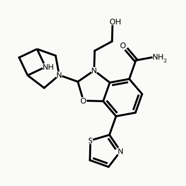 NC(=O)c1ccc(-c2nccs2)c2c1N(CCO)C(N1CC3CC(C1)N3)O2